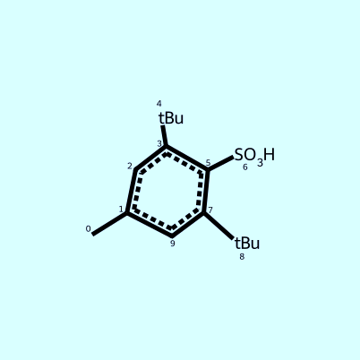 Cc1cc(C(C)(C)C)c(S(=O)(=O)O)c(C(C)(C)C)c1